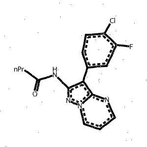 CCCC(=O)Nc1nn2cccnc2c1-c1ccc(Cl)c(F)c1